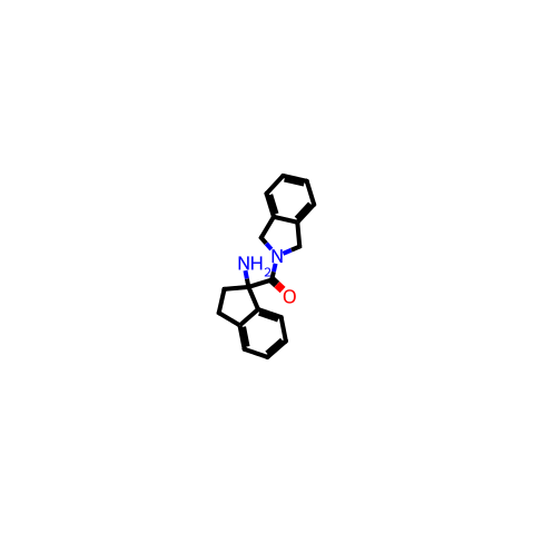 NC1(C(=O)N2Cc3ccccc3C2)CCc2ccccc21